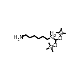 C[Si](C)(C)OC(O[Si](C)(C)C)[SiH2]CCCCCCN